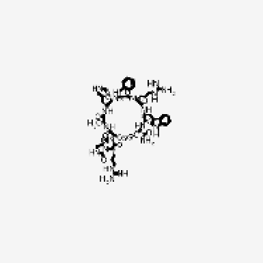 C[C@H]1NC(=O)[C@@H](NC(=O)[C@H](CCCNC(=N)N)N2C(=O)CNC2=O)CSSC[C@@H](C(N)=O)NC(=O)[C@H](Cc2c[nH]c3ccccc23)NC(=O)[C@H](CCCNC(=N)N)NC(=O)[C@@H](Cc2ccccc2)NC(=O)[C@H](Cc2c[nH]cn2)NC1=O